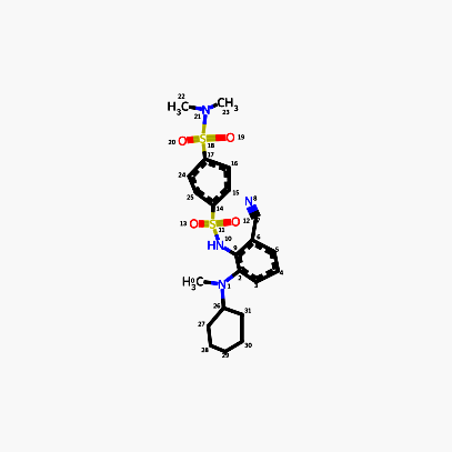 CN(c1cccc(C#N)c1NS(=O)(=O)c1ccc(S(=O)(=O)N(C)C)cc1)C1CCCCC1